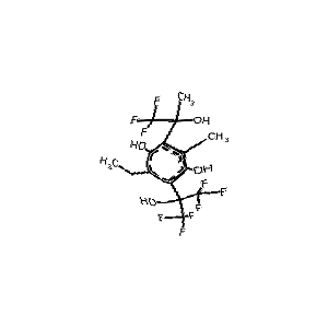 CCc1c(O)c(C(C)(O)C(F)(F)F)c(C)c(O)c1C(O)(C(F)(F)F)C(F)(F)F